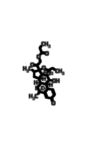 CCC(=O)OCC(=O)[C@@]1(OC(=O)CC)C(C)C[C@H]2[C@@H]3CC(C)C4=CC(=O)C=C[C@]4(C)[C@H]3C(O)C[C@@]21C